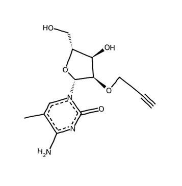 C#CCO[C@@H]1[C@H](O)[C@@H](CO)O[C@H]1n1cc(C)c(N)nc1=O